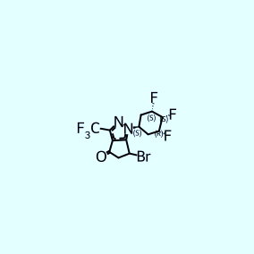 O=C1CC(Br)c2c1c(C(F)(F)F)nn2[C@@H]1C[C@@H](F)[C@@H](F)[C@@H](F)C1